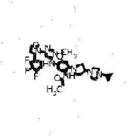 C=CC(=O)Nc1cc(Nc2cc(N3OCCC3c3ccc(F)c(F)c3F)ncn2)c(OC)cc1N1CCC(N2CCN(C3CC3)CC2)CC1